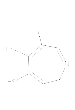 CC1=C(S)C(S)=CCN=C1